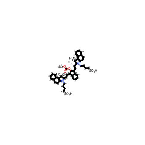 CC(C)(C)OC(=O)OC1=C(/C=C/C2=[N+](CCCCS(=O)(=O)O)c3ccc4ccccc4c3C2(C)C)c2ccccc2/C1=C\C=C1\N(CCCCS(=O)(=O)O)c2ccc3ccccc3c2C1(C)C